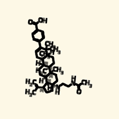 C=C(C)[C@@H]1CC[C@]2(NCCNC(C)=O)CC[C@]3(C)[C@H](CC[C@@H]4[C@@]5(C)CC=C(c6ccc(C(=O)O)cc6)C(C)(C)[C@@H]5CC[C@]43C)[C@@H]12